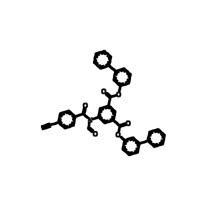 C#Cc1ccc(C(=O)N(C=O)c2cc(C(=O)Oc3cccc(-c4ccccc4)c3)cc(C(=O)Oc3cccc(-c4ccccc4)c3)c2)cc1